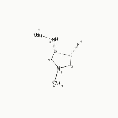 CN1C[C@@H](F)[C@@H](NC(C)(C)C)C1